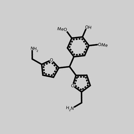 COc1cc(C(c2ccc(CN)o2)c2ccc(CN)o2)cc(OC)c1O